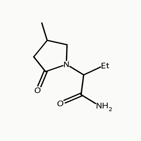 CCC(C(N)=O)N1CC(C)CC1=O